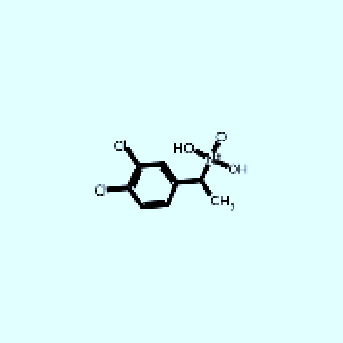 CC(c1ccc(Cl)c(Cl)c1)[N+]([O-])(O)O